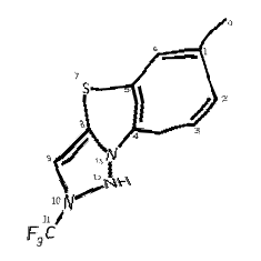 Cc1ccc2c(c1)SC1=CN(C(F)(F)F)NN12